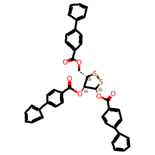 O=C(OC[C@@H]1SS[C@H](OC(=O)c2ccc(-c3ccccc3)cc2)[C@H]1OC(=O)c1ccc(-c2ccccc2)cc1)c1ccc(-c2ccccc2)cc1